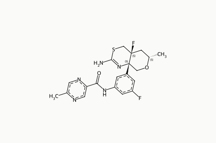 Cc1cnc(C(=O)Nc2cc(F)cc([C@]34CO[C@@H](C)C[C@@]3(F)CSC(N)=N4)c2)cn1